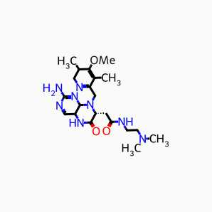 COC1=C(C)C(CN2C3N=C(N)N=CC3NC(=O)[C@H]2CC(=O)NCCN(C)C)=NCC1C